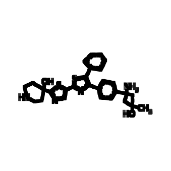 CC1(O)CC(N)(c2ccc(-c3nc(-c4cnc(C5(O)CCNCC5)s4)sc3-c3ccccc3)cc2)C1